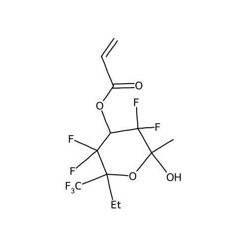 C=CC(=O)OC1C(F)(F)C(C)(O)OC(CC)(C(F)(F)F)C1(F)F